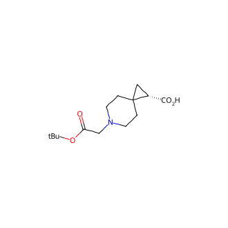 CC(C)(C)OC(=O)CN1CCC2(CC1)C[C@@H]2C(=O)O